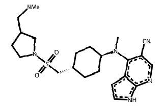 CNCC1CCN(S(=O)(=O)C[C@H]2CC[C@H](N(C)c3c(C#N)cnc4[nH]ccc34)CC2)C1